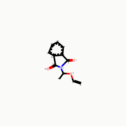 C=COC(C)N1C(=O)c2ccccc2C1=O